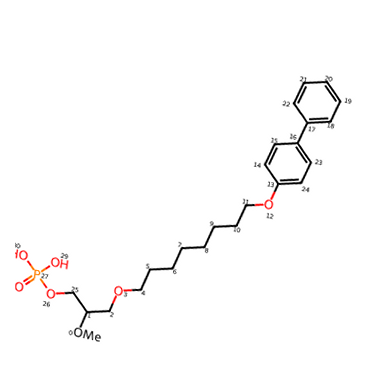 COC(COCCCCCCCCOc1ccc(-c2ccccc2)cc1)COP(=O)(O)O